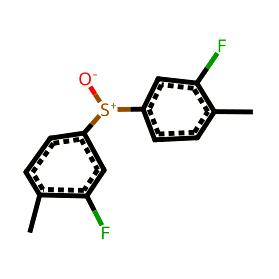 Cc1ccc([S+]([O-])c2ccc(C)c(F)c2)cc1F